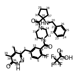 Cc1c(Cc2ccc(F)c(C(=O)N3CCN(C(=O)C4(NCc5ccccc5)CCCC4)CC3)c2)n[nH]c(=O)c1C.O=C(O)C(F)(F)F